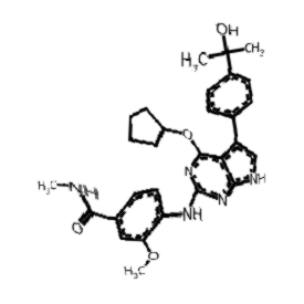 CNC(=O)c1ccc(Nc2nc(OC3CCCC3)c3c(-c4ccc(C(C)(C)O)cc4)c[nH]c3n2)c(OC)c1